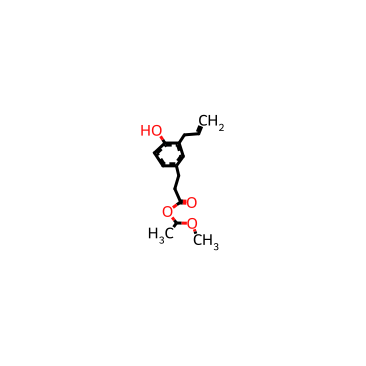 C=CCc1cc(CCC(=O)OC(C)OC)ccc1O